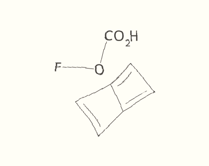 O=C(O)OF.c1cc2ccc1-2